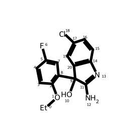 CCOc1ccc(F)cc1C1(O)C(N)=Nc2ccc(Cl)cc21